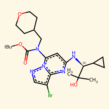 CC(C)(C)OC(=O)N(CC1CCOCC1)c1cc(N[C@@H](C2CC2)C(C)(C)O)nc2c(Br)cnn12